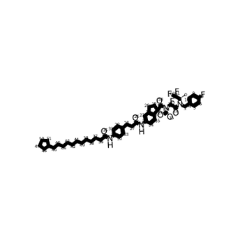 C[C@H](N(Cc1ccc(F)cc1)C(=O)CN1C(=O)OC2(CCc3cc(NC(=O)CCc4ccc(NC(=O)CCCCCCCCCCCC5CCCC5)cc4)ccc32)C1=O)C(F)(F)F